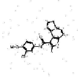 COc1ccc(NC(=O)c2c(C)oc3c2C2=NCCN2C=N3)cc1Cl